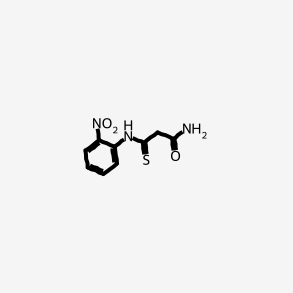 NC(=O)CC(=S)Nc1ccccc1[N+](=O)[O-]